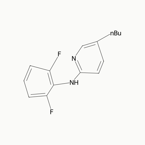 CCCCc1ccc(Nc2c(F)cccc2F)nc1